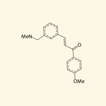 CNCc1cccc(C=CC(=O)c2ccc(OC)cc2)c1